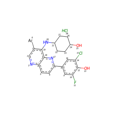 CC(=O)c1cnc2ccc(-c3cc(F)c(O)c(Cl)c3)nc2c1NC1CCC(O)CC1.Cl